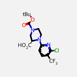 CC(C)(C)OC(=O)N1CCN(c2ccc(C(F)(F)F)c(Cl)n2)[C@H](C(=O)O)C1